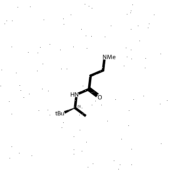 CNCCC(=O)N[C@@H](C)C(C)(C)C